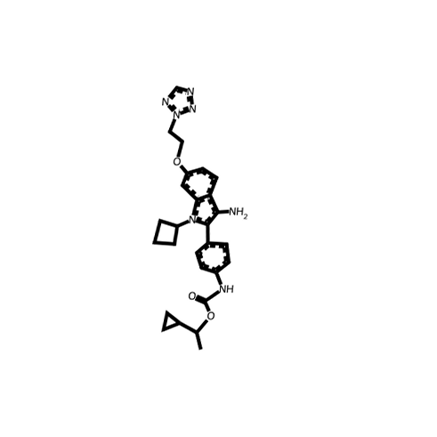 CC(OC(=O)Nc1ccc(-c2c(N)c3ccc(OCCn4ncnn4)cc3n2C2CCC2)cc1)C1CC1